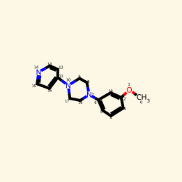 COc1cccc(N2CCN(c3ccncc3)CC2)c1